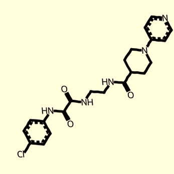 O=C(NCCNC(=O)C1CCN(c2ccncc2)CC1)C(=O)Nc1ccc(Cl)cc1